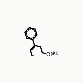 [CH2]C=C(CCOC)c1ccccc1